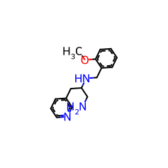 COc1ccccc1CNC(CN)Cc1cccnc1